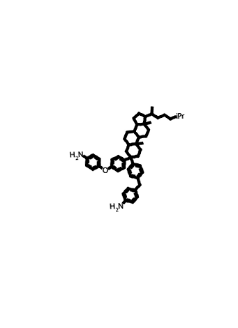 CC(C)CCCC(C)C1CCC2C3CCC4CC(c5ccc(Cc6ccc(N)cc6)cc5)(c5ccc(Oc6ccc(N)cc6)cc5)CCC4(C)C3CCC12C